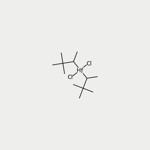 C[CH](C(C)(C)C)[Hf]([Cl])([Cl])[CH](C)C(C)(C)C